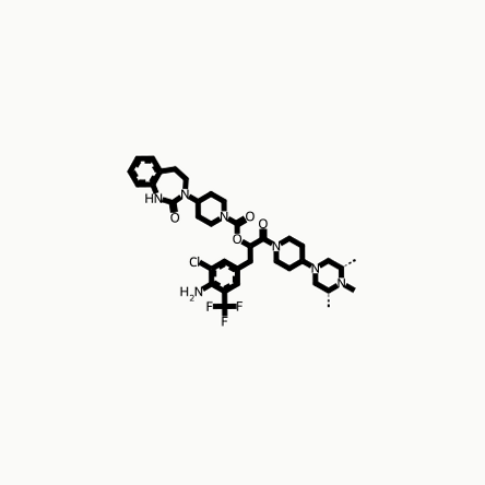 C[C@@H]1CN(C2CCN(C(=O)C(Cc3cc(Cl)c(N)c(C(F)(F)F)c3)OC(=O)N3CCC(N4CCc5ccccc5NC4=O)CC3)CC2)C[C@H](C)N1C